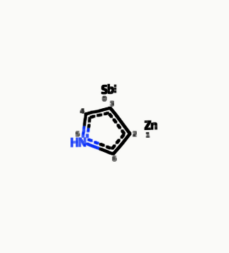 [Sb].[Zn].c1cc[nH]c1